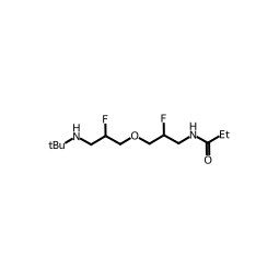 CCC(=O)NCC(F)COCC(F)CNC(C)(C)C